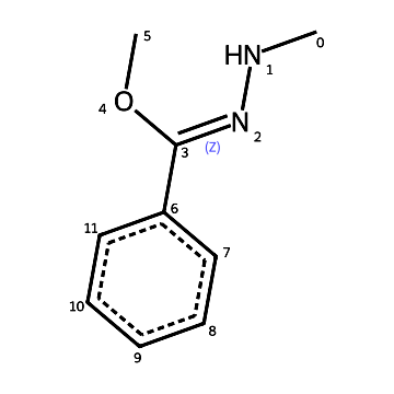 CN/N=C(\OC)c1ccccc1